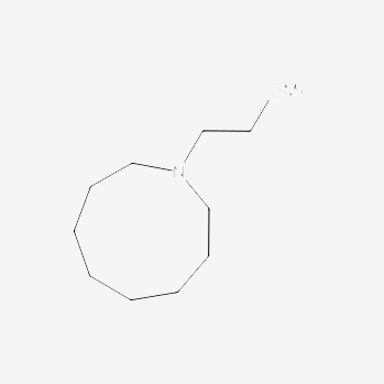 COCCN1CCCCCCCC1